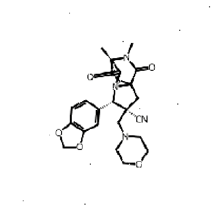 CN1C(=O)C23C[C@@](C#N)(CN4CCOCC4)[C@H](c4ccc5c(c4)OCO5)N2C(=O)[C@]1(C)SS3